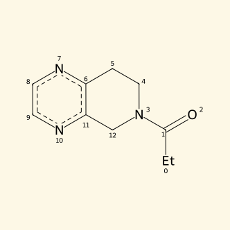 CCC(=O)N1CCc2nccnc2C1